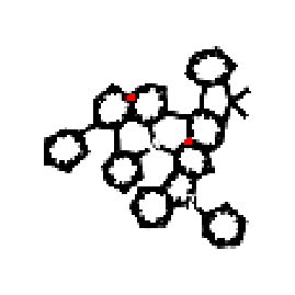 CC1(C)c2ccccc2-c2c(-c3ccccc3N(c3ccccc3-c3ccccc3-c3ccccc3)c3cccc4c3c3ccccc3n4-c3ccccc3)cccc21